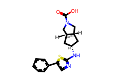 O=C(O)N1C[C@H]2C[C@@H](Nc3ncc(-c4ccccc4)s3)C[C@H]2C1